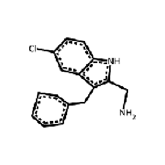 NCc1[nH]c2ccc(Cl)cc2c1Cc1ccccc1